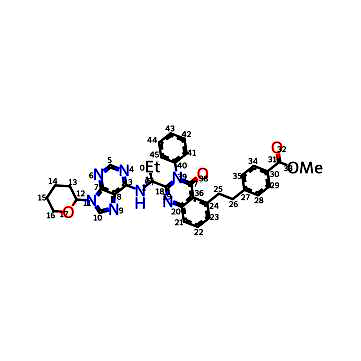 CC[C@H](Nc1ncnc2c1ncn2C1CCCCO1)c1nc2cccc(CCc3ccc(C(=O)OC)cc3)c2c(=O)n1-c1ccccc1